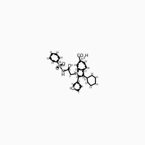 O=C(Cn1c(-c2ccoc2)c(C2CCCCC2)c2ccc(C(=O)O)cc21)NS(=O)(=O)c1ccccc1